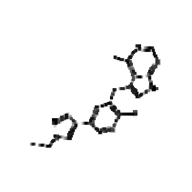 CCn1cc(-c2[c]nc(F)c(Cc3c[nH]c4ncnc(C)c34)c2)cn1